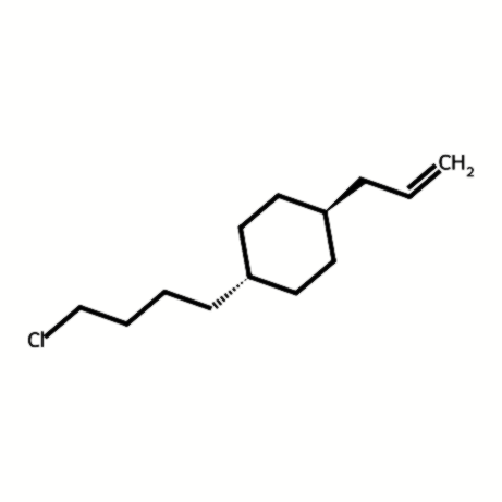 C=CC[C@H]1CC[C@H](CCCCCl)CC1